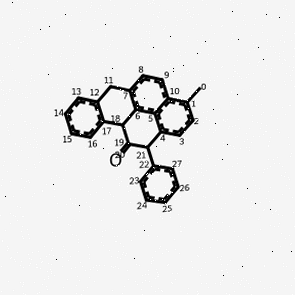 Cc1ccc2c3c4c(ccc13)Cc1ccccc1C4C(=O)C2c1ccccc1